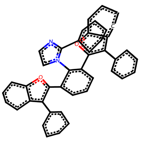 c1ccc(-c2c(-c3cccc(-c4oc5ccccc5c4-c4ccccc4)c3-n3ccnc3-c3ccccc3)oc3ccccc23)cc1